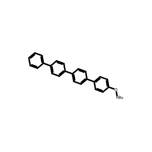 CCCCOc1ccc(-c2ccc(-c3ccc(-c4ccccc4)cc3)cc2)cc1